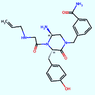 C=CCNCC(=O)N1[C@@H](N)CN(Cc2cccc(C(N)=O)c2)C(=O)[C@@H]1Cc1ccc(O)cc1